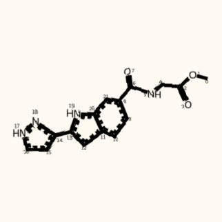 COC(=O)CNC(=O)c1ccc2cc(-c3cc[nH]n3)[nH]c2c1